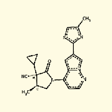 Cc1csc(-c2cc3c(N4C[C@@H](C)[C@@](C#N)(C5CC5)C4=O)ccnn3c2)n1